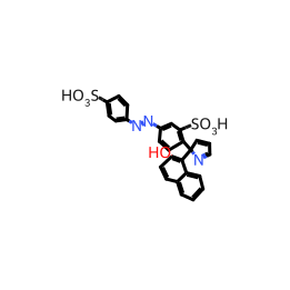 O=S(=O)(O)c1ccc(N=Nc2ccc(C3(c4c(O)ccc5ccccc45)C=CC=N3)c(S(=O)(=O)O)c2)cc1